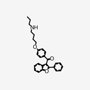 CCCNCCCCOc1ccc(C(=O)c2c(-c3ccccc3)oc3ccccc23)cc1